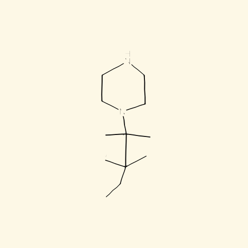 CCC(C)(C)C(C)(C)N1CCNCC1